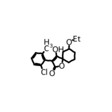 CCOC1CCCC2(C1)OC(=O)C(c1c(C)cccc1Cl)=C2O